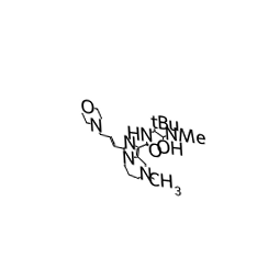 CNC(O)[C@@H](NC(=O)c1nc(/C=C/CN2CCOCC2)n2c1CN(C)CCC2)C(C)(C)C